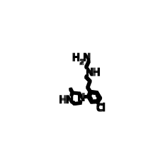 CC1CN(c2cc(Cl)ccc2CCCNCCN)CCN1